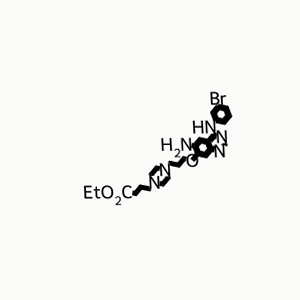 CCOC(=O)CCCN1CCN(CCCOc2cc3ncnc(Nc4cccc(Br)c4)c3cc2N)CC1